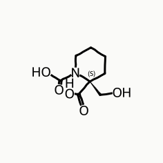 O=C(O)N1CCCC[C@]1(CO)C(=O)O